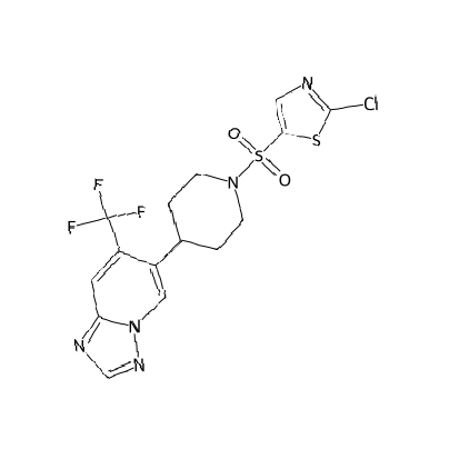 O=S(=O)(c1cnc(Cl)s1)N1CCC(c2cn3ncnc3cc2C(F)(F)F)CC1